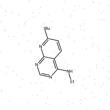 CCNc1ncnc2nc(C(C)(C)C)ccc12